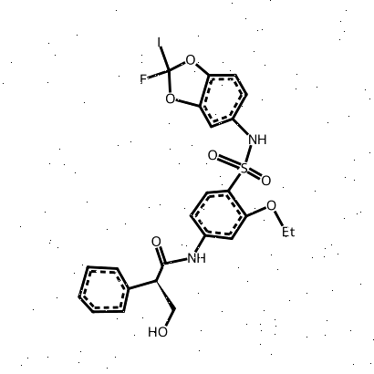 CCOc1cc(NC(=O)[C@@H](CO)c2ccccc2)ccc1S(=O)(=O)Nc1ccc2c(c1)OC(F)(I)O2